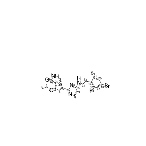 CCOc1cc(-c2nccc(NCCc3c(F)cc(Br)cc3F)n2)sc1C(N)=O